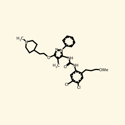 COCCCc1cc(Cl)c(Cl)cc1NC(=O)Nc1c(C)c(OCCC2CCN(C)CC2)nn1-c1ccccc1